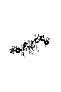 Cc1ncsc1-c1ccc([C@H](C)NC(=O)[C@@H]2C[C@@H](O)CN2C(=O)[C@@H](NC(=O)CN2CCN(c3cc(-c4cc(F)ccc4O)nnc3N)CC2)C(C)(C)C)cc1